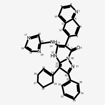 O=c1c(-c2ccc3ncccc3c2)c(Nc2cnccn2)[nH]c2c(C3=CCCCC3)c(-c3ccccc3)nn12